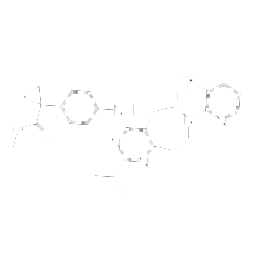 COC(=O)C1(c2ccc(Nc3nc(C(C)C)nc4c3CCN(c3ncccc3C(F)(F)F)CC4)cc2)CC1